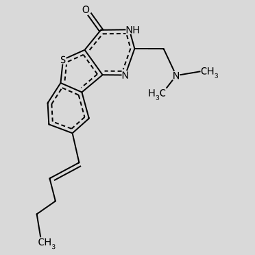 CCC/C=C/c1ccc2sc3c(=O)[nH]c(CN(C)C)nc3c2c1